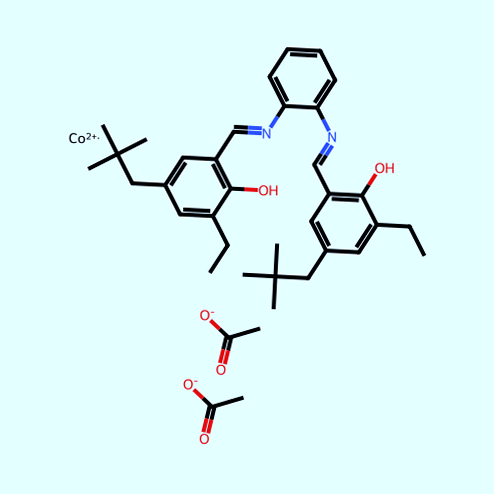 CC(=O)[O-].CC(=O)[O-].CCc1cc(CC(C)(C)C)cc(C=Nc2ccccc2N=Cc2cc(CC(C)(C)C)cc(CC)c2O)c1O.[Co+2]